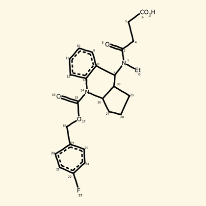 CCN(C(=O)CCC(=O)O)C1c2ccccc2N(C(=O)OCc2ccc(F)cc2)C2CCCC12